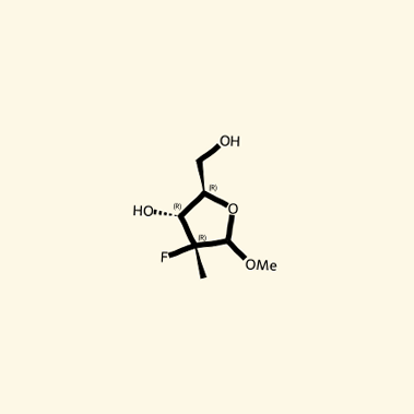 COC1O[C@H](CO)[C@@H](O)[C@@]1(C)F